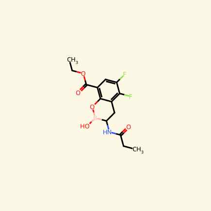 CCOC(=O)c1cc(F)c(F)c2c1OB(O)C(NC(=O)CC)C2